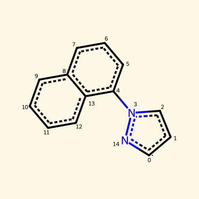 [c]1ccn(-c2cccc3ccccc23)n1